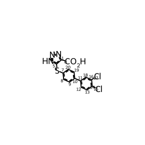 O=C(O)c1nn[nH]c1Sc1ccc(-c2ccc(Cl)c(Cl)c2)cc1